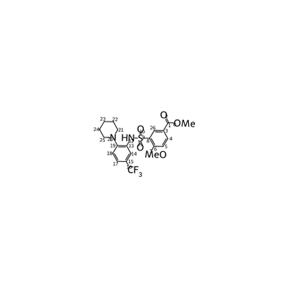 COC(=O)c1ccc(OC)c(S(=O)(=O)Nc2cc(C(F)(F)F)ccc2N2CCCCC2)c1